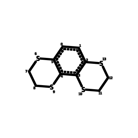 c1cc2c(c3c1SCCS3)SCCS2